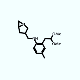 COC(Cc1cc(C)ccc1NCC1CC2CN2C1)OC